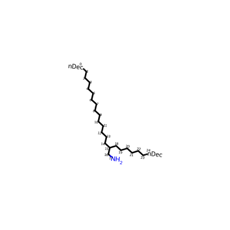 CCCCCCCCCCCCCCCCCCCCCCCCC(CN)CCCCCCCCCCCCCCCC